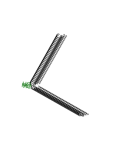 Cl.Cl.Cl.[Ca+2].[Ca+2].[Ca+2].[Ca+2].[Ca+2].[Ca+2].[Ca+2].[Ca+2].[Ca+2].[Ca+2].[Ca+2].[Ca+2].[Ca+2].[Ca+2].[Ca+2].[Ca+2].[Ca+2].[Ca+2].[Ca+2].[Ca+2].[Ca+2].[Ca+2].[Ca+2].[Ca+2].[Ca+2].[Ca+2].[Ca+2].[Ca+2].[Ca+2].[Ca+2].[Ca+2].[Ca+2].[Ca+2].[Ca+2].[Ca+2].[Ca+2].[Ca+2].[Ca+2].[Ca+2].[Ca+2].[Ca+2].[Ca+2].[Ca+2].[Ca+2].[Ca+2].[Ca+2].[Ca+2].[Ca+2].[Ca+2].[Ca+2].[Ca+2].[Ca+2].[Ca+2].[Ca+2].[Ca+2].[Ca+2].[Ca+2].[Ca+2].[Ca+2].[Ca+2].[Ca+2].[Ca+2].[Ca+2].[Ca+2].[Ca+2].[Ca+2].[Ca+2].[Ca+2]